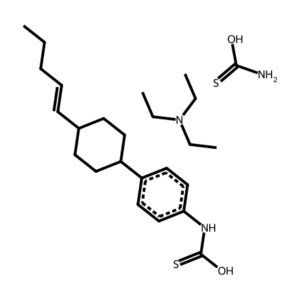 CCCC=CC1CCC(c2ccc(NC(O)=S)cc2)CC1.CCN(CC)CC.NC(O)=S